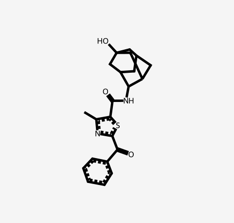 Cc1nc(C(=O)c2ccccc2)sc1C(=O)NC1C2CC3CC1CC(O)(C3)C2